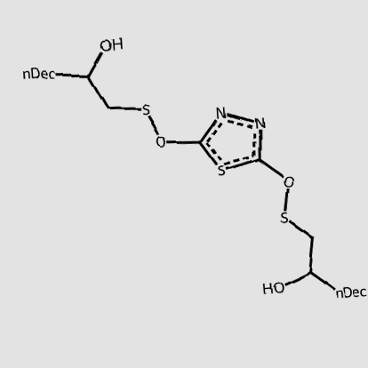 CCCCCCCCCCC(O)CSOc1nnc(OSCC(O)CCCCCCCCCC)s1